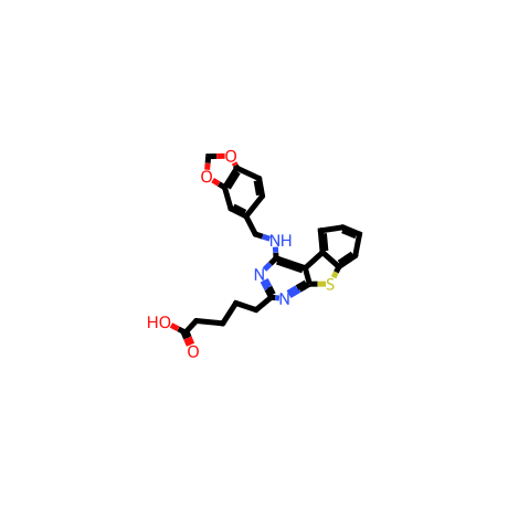 O=C(O)CCCCc1nc(NCc2ccc3c(c2)OCO3)c2c(n1)sc1ccccc12